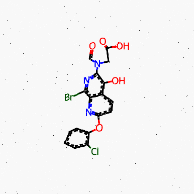 O=CN(CC(=O)O)c1nc(Br)c2nc(Oc3ccccc3Cl)ccc2c1O